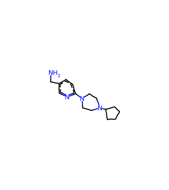 NCc1ccc(N2CCN(C3CCCC3)CC2)nc1